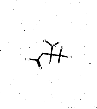 O=C(O)CC(F)(C(Cl)Cl)C(O)(F)F